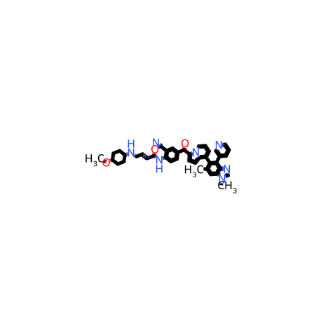 COC1CCC(NC/C=C/C(=O)Nc2ccc(C(=O)c3ccc4c(-c5c(C)cc6c(ncn6C)c5-c5cccnc5)cccn34)cc2C#N)CC1